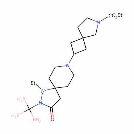 BC(B)(B)N1C(=O)CC2(CCN(C3CC4(CCN(C(=O)OCC)C4)C3)CC2)N1CC